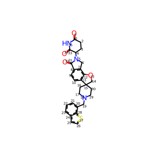 O=C1CCC(N2Cc3c(ccc4c3OCC43CCN(Cc4cccc5ccsc45)CC3)C2=O)C(=O)N1